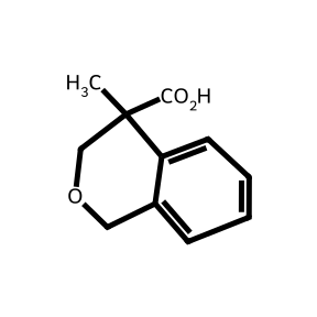 CC1(C(=O)O)COCc2ccccc21